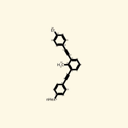 CCCCCCc1ccc(C#Cc2cccc(C#Cc3ccc(CC)cc3)c2C)cc1